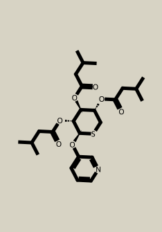 CC(C)CC(=O)O[C@@H]1[C@@H](OC(=O)CC(C)C)[C@H](OC(=O)CC(C)C)CS[C@H]1Oc1cccnc1